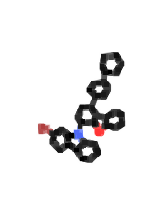 Brc1ccc2c3ccccc3n(-c3ccc(-c4ccc(-c5ccccc5)cc4)c4c3oc3ccccc34)c2c1